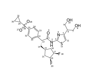 O=C(Nc1nc(C(CO)CO)cs1)[C@H](C[C@H]1C[C@@H](F)[C@@H](F)C1)c1ccc(S(=O)(=O)C2CC2)cc1